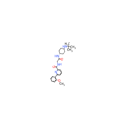 COc1ccccc1-c1cccc(C(=O)NCC(=O)N[C@H]2CC[C@H](NC(C)(C)C)CC2)n1